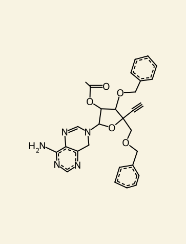 C#CC1(COCc2ccccc2)OC(N2C=Nc3c(N)ncnc3C2)C(OC(C)=O)C1OCc1ccccc1